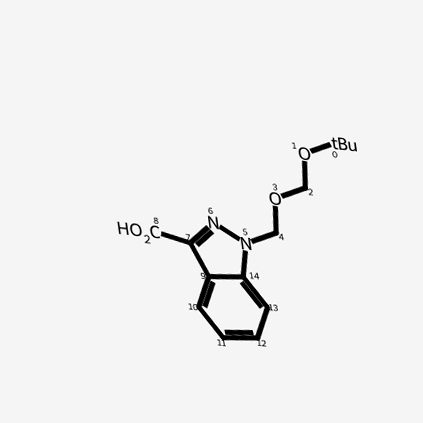 CC(C)(C)OCOCn1nc(C(=O)O)c2ccccc21